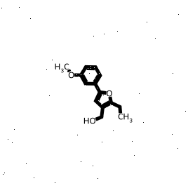 CCc1oc(-c2cccc(OC)c2)cc1CO